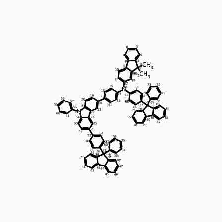 CC1(C)c2ccccc2-c2ccc(N(c3ccc(-c4ccc5c(c4)c4cc(-c6ccc(C7(c8ccccc8)c8ccccc8-c8ccccc87)cc6)ccc4n5-c4ccccc4)cc3)c3ccc(C4(c5ccccc5)c5ccccc5-c5ccccc54)cc3)cc21